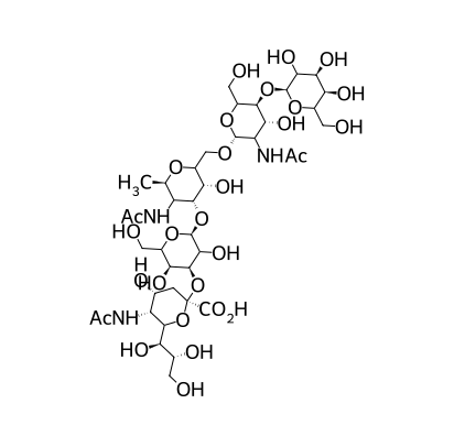 CC(=O)NC1[C@H](OCC2O[C@H](C)C(NC(C)=O)[C@@H](O[C@@H]3OC(CO)[C@H](O)[C@H](O[C@]4(C(=O)O)C[C@@H](O)[C@@H](NC(C)=O)C([C@H](O)[C@H](O)CO)O4)C3O)[C@H]2O)OC(CO)[C@@H](O[C@@H]2OC(CO)[C@H](O)[C@H](O)C2O)[C@@H]1O